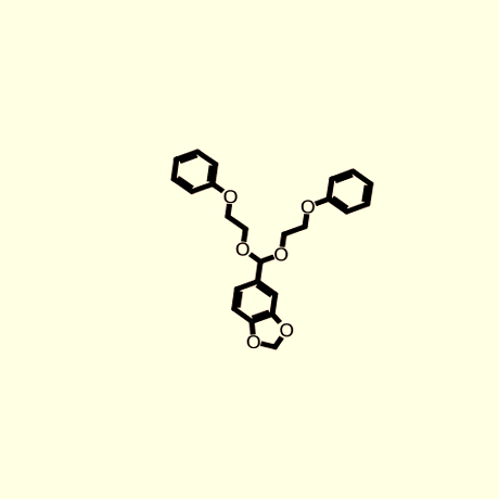 c1ccc(OCCOC(OCCOc2ccccc2)c2ccc3c(c2)OCO3)cc1